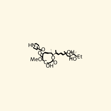 CC[C@H](O)[C@@H](C)O[C@@H](C)CC(C)(O)/C=C/C=C(\C)[C@H]1OC(=O)C[C@H](O)CC[C@@](C)(OC)[C@@H](OC(=O)N2CCNCC2)/C=C/[C@@H]1C